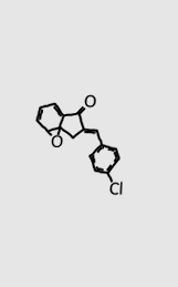 O=C1C(=Cc2ccc(Cl)cc2)CC23OC2C=CC=C13